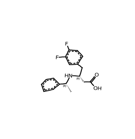 C[C@@H](N[C@@H](CC(=O)O)Cc1ccc(F)c(F)c1)c1ccccc1